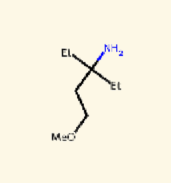 CCC(N)(CC)CCOC